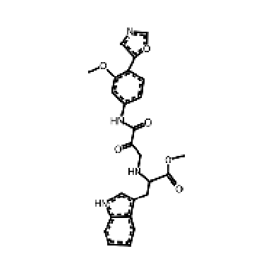 COC(=O)C(Cc1c[nH]c2ccccc12)NCC(=O)C(=O)Nc1ccc(-c2cnco2)c(OC)c1